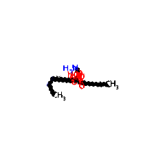 CCCCC/C=C\C/C=C\CCCCCCCCCC(=O)O[C@H](COC(=O)CCCCCCCCCCCCC)COP(=O)(O)OCCN